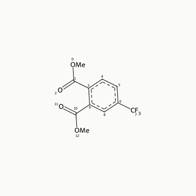 COC(=O)c1ccc(C(F)(F)F)cc1C(=O)OC